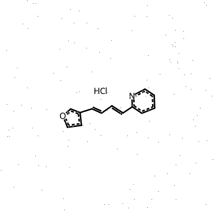 C(C=Cc1ccccn1)=Cc1ccoc1.Cl